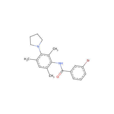 Cc1cc(C)c(N2CCCC2)c(C)c1NC(=O)c1cccc(Br)c1